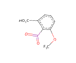 O=C(O)c1cccc(OC(F)(F)F)c1I(=O)=O